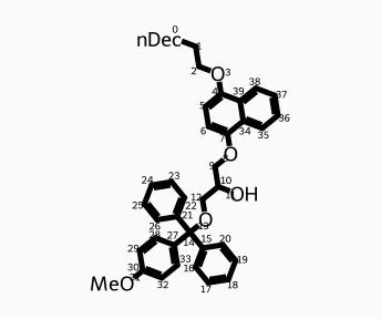 CCCCCCCCCCCCOc1ccc(OCC(O)COC(c2ccccc2)(c2ccccc2)c2ccc(OC)cc2)c2ccccc12